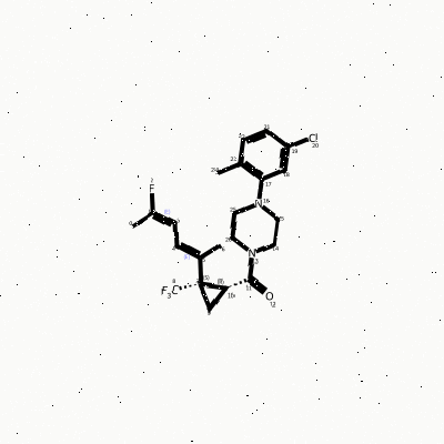 C/C(F)=C\C=C(/C)[C@]1(C(F)(F)F)C[C@H]1C(=O)N1CCN(c2cc(Cl)ccc2C)CC1